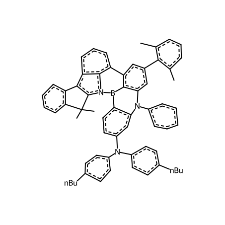 CCCCc1ccc(N(c2ccc(CCCC)cc2)c2ccc3c(c2)N(c2ccccc2)c2cc(-c4c(C)cccc4C)cc4c2B3n2c3c(c5cccc-4c52)-c2ccccc2C3(C)C)cc1